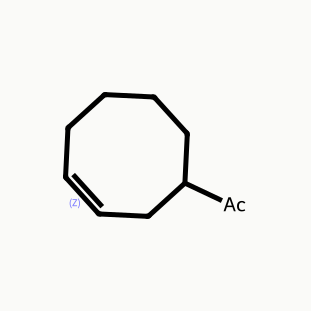 CC(=O)C1C/C=C\CCCC1